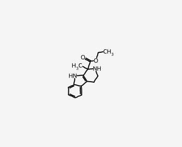 CCOC(=O)C1(C)NCCc2c1[nH]c1ccccc21